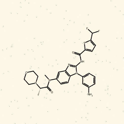 C[C@@H](C(=O)N(C)c1ccc2c(c1)nc(NC(=O)c1ccc(C(F)F)s1)n2-c1cccc(N)c1)N1CCOCC1